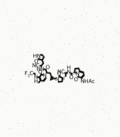 CC(=O)Nc1ccc2n(c1=O)[C@H](C(=O)N[C@H](C#N)C[C@@H]1CCN(C3CC3CC(C(=O)NC(C#N)CC3CCNC3=O)n3ccc(C)c(NCC(F)(F)F)c3=O)C1=O)CC2